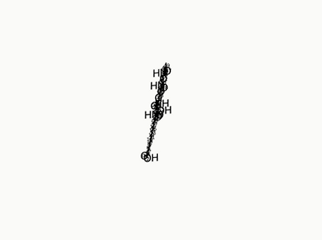 O=C(O)CCCCCCCCCCCCCCCCCCC(=O)N[C@@H](CCC(=O)NCCOCCOCC(=O)NCCOCCNC(=O)CI)C(=O)O